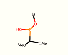 CCOP(O)C(OC)OC